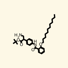 CCCCCCCCCCCCOc1ccccc1C(=O)Nc1ccc(C(CN)C(=O)OC(C)(C)C)cc1